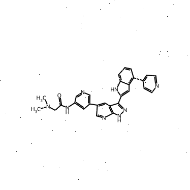 CN(C)CC(=O)Nc1cncc(-c2cnc3[nH]nc(-c4cc5c(-c6ccncc6)cccc5[nH]4)c3c2)c1